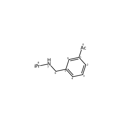 CC(=O)c1cccc(CNC(C)C)c1